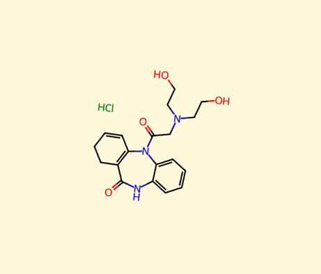 Cl.O=C1Nc2ccccc2N(C(=O)CN(CCO)CCO)C2=C1CCC=C2